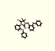 CC1(C)C(=O)N(c2ccccc2Oc2ccccc2)C(=O)N1Cc1ccccc1Cc1ccccc1